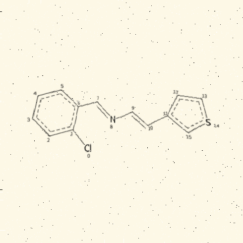 Clc1ccccc1C=NC=Cc1ccsc1